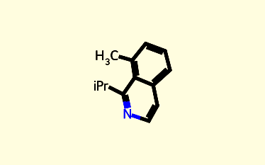 Cc1cccc2ccnc(C(C)C)c12